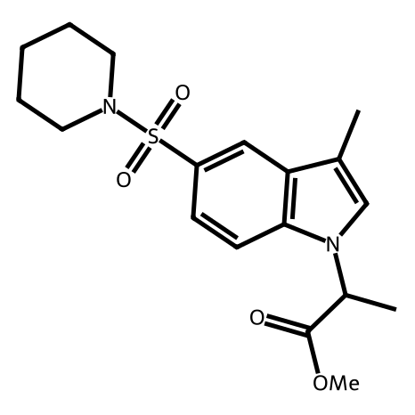 COC(=O)C(C)n1cc(C)c2cc(S(=O)(=O)N3CCCCC3)ccc21